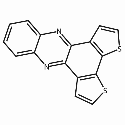 c1ccc2nc3c4ccsc4c4sccc4c3nc2c1